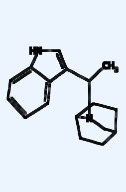 CC(c1c[nH]c2ccccc12)N1CC2CCC1CC2